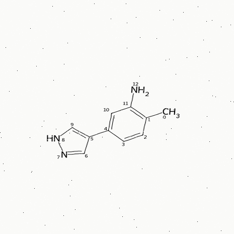 Cc1ccc(-c2cn[nH]c2)cc1N